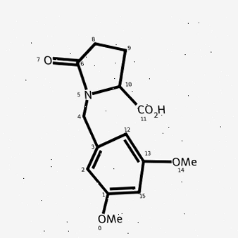 COc1cc(CN2C(=O)CCC2C(=O)O)cc(OC)c1